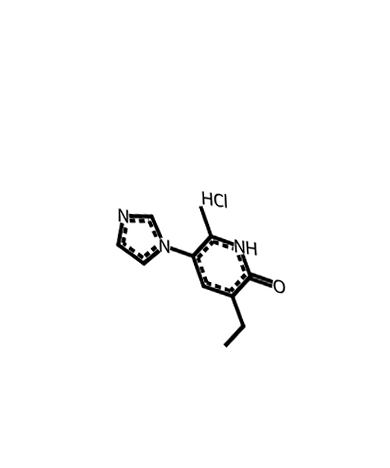 CCc1cc(-n2ccnc2)c(C)[nH]c1=O.Cl